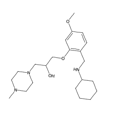 COc1ccc(CNC2CCCCC2)c(OCC(O)CN2CCN(C)CC2)c1